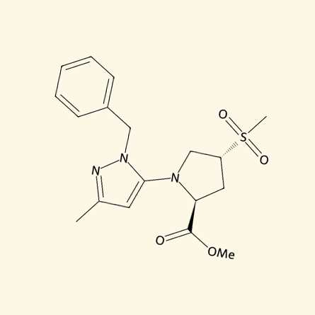 COC(=O)[C@@H]1C[C@@H](S(C)(=O)=O)CN1c1cc(C)nn1Cc1ccccc1